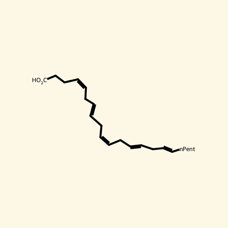 CCCCC/C=C/C/C=C/C/C=C\C/C=C/C/C=C\CCC(=O)O